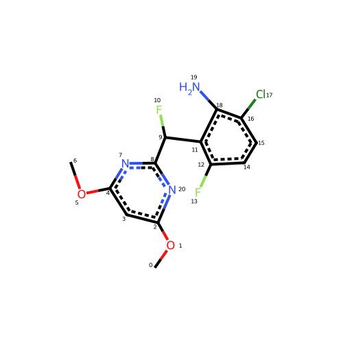 COc1cc(OC)nc(C(F)c2c(F)ccc(Cl)c2N)n1